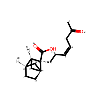 CC(=O)C/C=C\CC[C@@]1(C(=O)O)[C@H]2C[C@@]13CC[C@@H]2C3